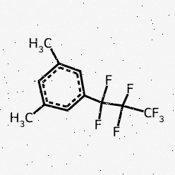 Cc1[c]c(C)cc(C(F)(F)C(F)(F)C(F)(F)F)c1